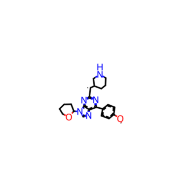 COc1ccc(-c2nc([CH]C3CCCNC3)nc3c2ncn3C2CCCCO2)cc1